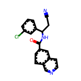 N#CCC(NC(=O)c1ccc2cnccc2c1)c1cccc(Cl)c1